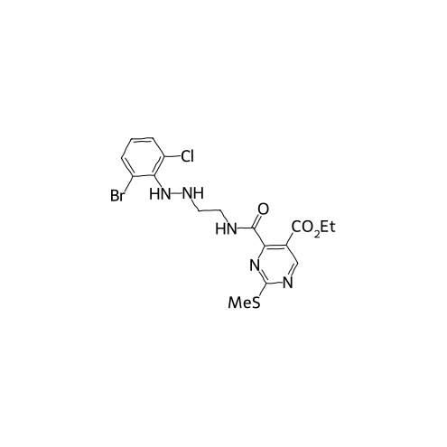 CCOC(=O)c1cnc(SC)nc1C(=O)NCCNNc1c(Cl)cccc1Br